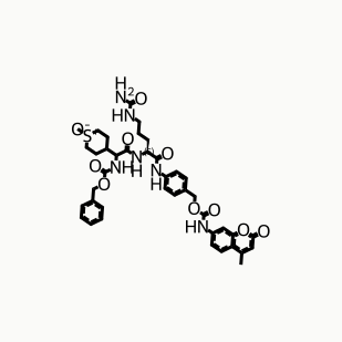 Cc1cc(=O)oc2cc(NC(=O)OCc3ccc(NC(=O)[C@H](CCCNC(N)=O)NC(=O)C(NC(=O)OCc4ccccc4)C4CC[S+]([O-])CC4)cc3)ccc12